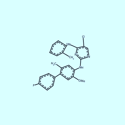 COc1cc(-c2ccc(F)cc2)c(C)cc1Nc1ncc(Cl)c(Nc2ccccc2C)n1